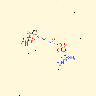 COc1cc(Cc2cnc(N)nc2N)cc(OC)c1OCCCC(=O)NCCOCCNc1cccc2c1C(=O)N(C1CCC(=O)NC1=O)C2=O